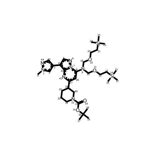 Cn1cc(-c2cnn3c(N(COCC[Si](C)(C)C)COCC[Si](C)(C)C)cc(C4CCCN(C(=O)OC(C)(C)C)C4)nc23)cn1